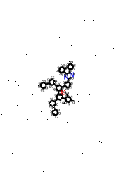 Cc1cc(C)c(-c2cc(-c3cccc(-c4ccccc4)c3)cc3c2oc2c(-c4cccc(-c5cnc6c7ccccc7c7ccccc7c6n5)c4)cc(-c4cccc(-c5ccccc5)c4)cc23)c(C)c1